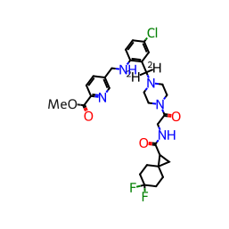 [2H]C([2H])(c1cc(Cl)ccc1NCc1ccc(C(=O)OC)nc1)N1CCN(C(=O)CNC(=O)C2CC23CCC(F)(F)CC3)CC1